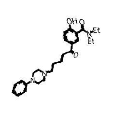 CCN(CC)C(=O)c1cc(C(=O)CCCCN2CCN(c3ccccc3)CC2)ccc1O